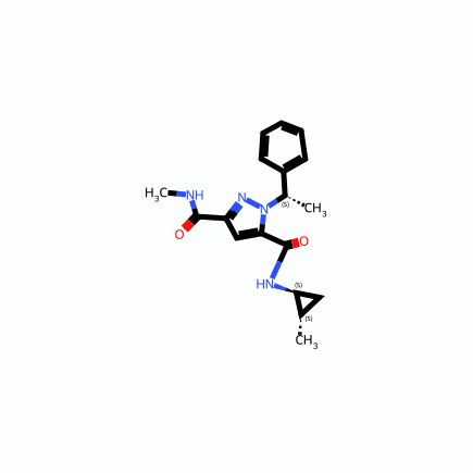 CNC(=O)c1cc(C(=O)N[C@H]2C[C@@H]2C)n([C@@H](C)c2ccccc2)n1